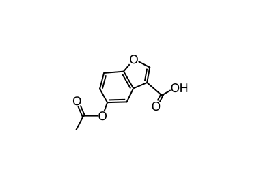 CC(=O)Oc1ccc2occ(C(=O)O)c2c1